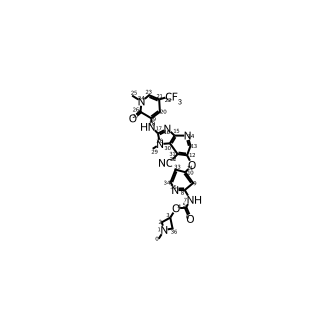 CN1CC(OC(=O)Nc2cc(Oc3cnc4nc(Nc5cc(C(F)(F)F)cn(C)c5=O)n(C)c4c3C#N)ccn2)C1